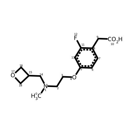 CN(CCOc1ccc(CC(=O)O)c(F)c1)CC1COC1